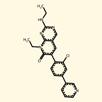 CCNc1ncc2cc(-c3ccc(-c4cccnc4)cc3Cl)c(=O)n(CC)c2n1